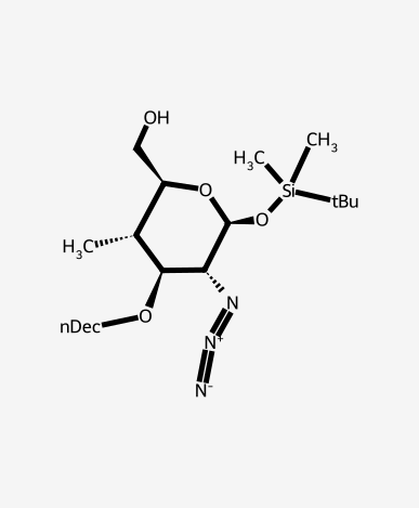 CCCCCCCCCCO[C@H]1[C@H](C)[C@@H](CO)O[C@@H](O[Si](C)(C)C(C)(C)C)[C@@H]1N=[N+]=[N-]